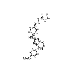 COc1ccc(-c2nccc3nc(Nc4ccc(OCCN5CCCC5)cc4)nn23)cc1